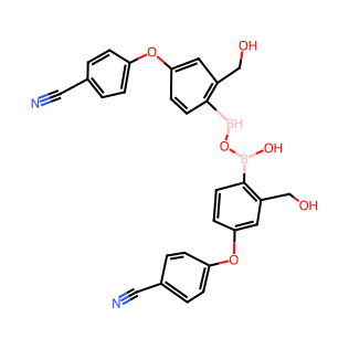 N#Cc1ccc(Oc2ccc(BOB(O)c3ccc(Oc4ccc(C#N)cc4)cc3CO)c(CO)c2)cc1